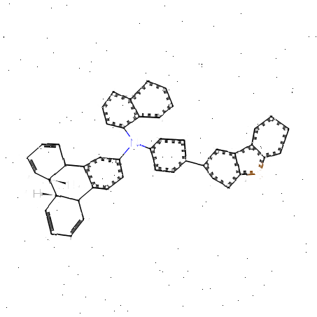 C1=CC2c3cc(N(c4ccc(-c5ccc6sc7ccccc7c6c5)cc4)c4cccc5ccccc45)ccc3C3C=CC=C[C@@H]3[C@@H]2C=C1